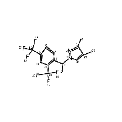 Cc1nn(C(C)c2ccc(C(F)(F)F)cc2C(F)(F)F)cc1I